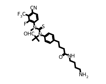 CN(C(=S)N(c1ccc(CCCC(=O)NCCCCN)cc1)C(C)(C)C=O)c1ccc(C#N)c(C(F)(F)F)c1F